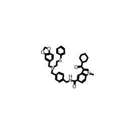 Cn1cc(C(=O)C2CCCCC2)c2cc(C(=O)NCc3ccc(CN(CCSc4ccccc4)Cc4ccc5c(c4)OCO5)cc3)ccc21